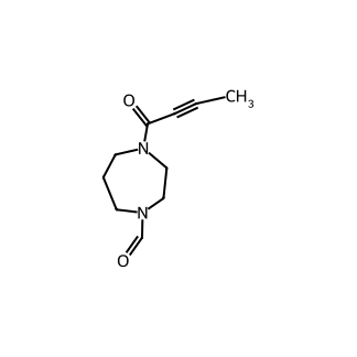 CC#CC(=O)N1CCCN(C=O)CC1